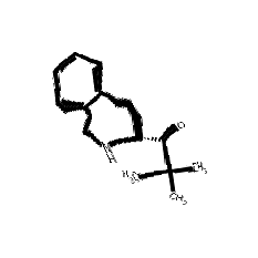 CC(C)(C)C(=O)[C@H]1Cc2ccccc2CN1